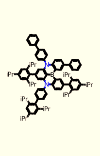 CC(C)c1cc(C(C)C)c(-c2ccc(N3c4ccc(-c5c(C(C)C)cc(C(C)C)cc5C(C)C)cc4B4c5cc(-c6ccccc6)ccc5N(c5ccc(-c6ccccc6)cc5)c5cc(-c6c(C(C)C)cc(C(C)C)cc6C(C)C)cc3c54)cc2)c(C(C)C)c1